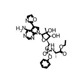 CCOC(=O)[C@H](C)NP(=O)(OC[C@H]1O[C@@H](n2cc(-c3ncco3)c3c(N)ncnc32)[C@](C)(O)[C@@H]1O)Oc1ccccc1